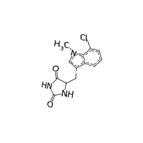 Cn1cc(CC2NC(=O)NC2=O)c2cccc(Cl)c21